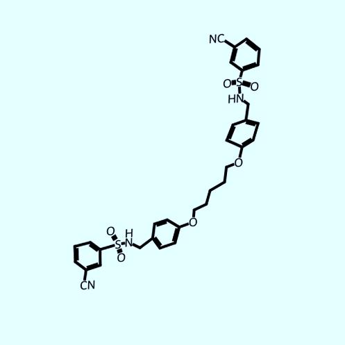 N#Cc1cccc(S(=O)(=O)NCc2ccc(OCCCCCOc3ccc(CNS(=O)(=O)c4cccc(C#N)c4)cc3)cc2)c1